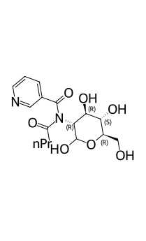 CCCC(=O)N(C(=O)c1cccnc1)[C@H]1C(O)O[C@H](CO)[C@@H](O)[C@@H]1O